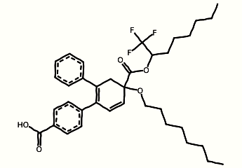 CCCCCCCCOC1(C(=O)OC(CCCCCC)C(F)(F)F)C=CC(c2ccc(C(=O)O)cc2)=C(c2ccccc2)C1